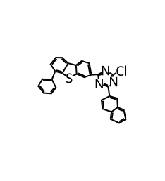 Clc1nc(-c2ccc3ccccc3c2)nc(-c2ccc3c(c2)sc2c(-c4ccccc4)cccc23)n1